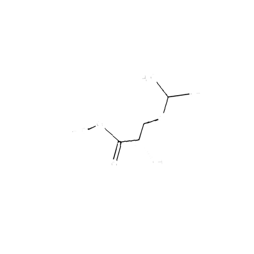 COC(=O)[C@@H](C)COC(C)C